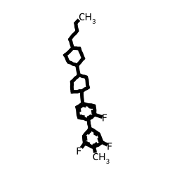 CCCCC1CCC(C2CCC(c3ccc(-c4cc(F)c(C)c(F)c4)c(F)c3)CC2)CC1